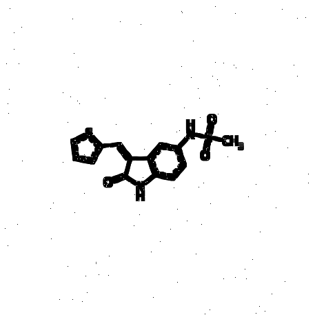 CS(=O)(=O)Nc1ccc2c(c1)/C(=C/c1cccs1)C(=O)N2